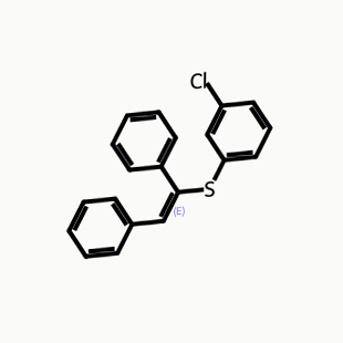 Clc1cccc(S/C(=C/c2ccccc2)c2ccccc2)c1